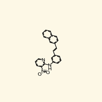 O=[N+]([O-])c1cccnc1Nc1cccc(C=Cc2ccc3ccccc3c2)c1